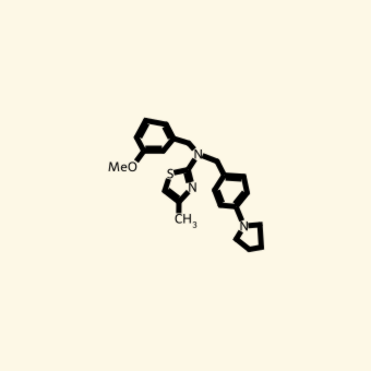 COc1cccc(CN(Cc2ccc(N3CCCC3)cc2)c2nc(C)cs2)c1